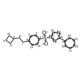 O=S(=O)(c1ccc(CCC2CCC2)cc1)n1cnc(-c2ccccc2)n1